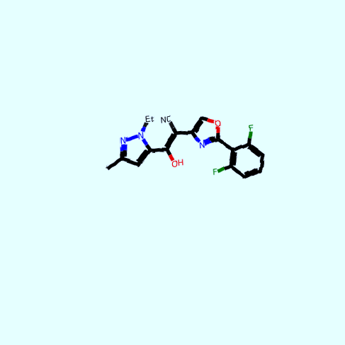 CCn1nc(C)cc1C(O)=C(C#N)c1coc(-c2c(F)cccc2F)n1